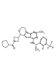 Cc1nc(N[C@H](C)c2cccc(C(F)(F)F)c2F)c2cc3n(c2n1)CCOC3C1CN(C(=O)C2CCCC2)C1